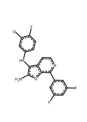 Nc1oc2c(-c3cc(F)cc(F)c3)nccc2c1Nc1ccc(F)c(Cl)c1